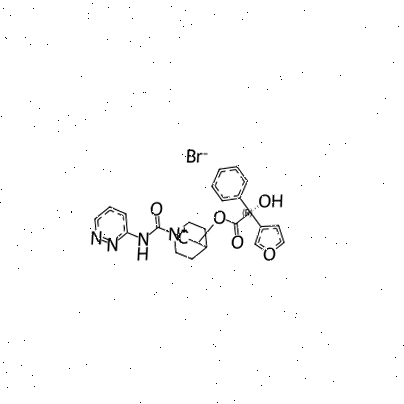 O=C(OC1C[N+]2(C(=O)Nc3cccnn3)CCC1CC2)[C@@](O)(c1ccccc1)c1ccoc1.[Br-]